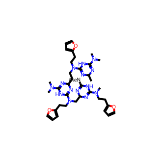 CNC1=NC(CN(CCc2ccco2)C2=NC(CCN(CCc3ccco3)C3=NC(C)N=C(N(C)C)N3)N=C(N(C)C)N2)N=C(N(C)CCc2ccco2)N1